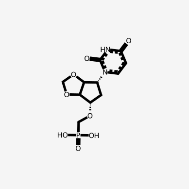 O=c1ccn([C@@H]2C[C@H](OCP(=O)(O)O)C3OCOC32)c(=O)[nH]1